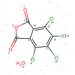 O.O=C1OC(=O)c2c(Cl)c(Cl)c(Cl)c(Cl)c21